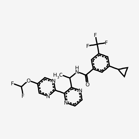 CC(NC(=O)c1cc(C2CC2)cc(C(F)(F)F)c1)c1nccnc1-c1ncc(OC(F)F)cn1